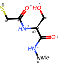 C[N]NC(=O)[C@H](CO)NC(=O)CS